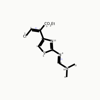 CCOC(=O)/C(=C/Cl)c1csc(/N=C/N(C)C)n1